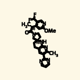 COc1cc([C@@H](C)C(=O)N2CC[C@@]3(CCc4cc(-c5ncccn5)c(C)nc4N3)C2)c(C(F)F)cn1